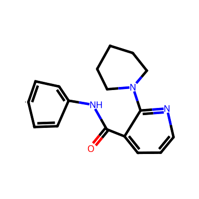 O=C(Nc1cc[c]cc1)c1cccnc1N1CCCCC1